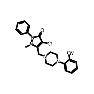 Cn1c(CN2CCN(c3ccccc3C#N)CC2)c(Cl)c(=O)n1-c1ccccc1